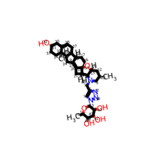 CC1O[C@H](n2cc(CN3C[C@@H](C)C[C@H]4O[C@@]56CC[C@@H]7C(=C5C[C@@H]6[C@@H]43)CC3[C@H]7CC=C4C[C@@H](O)CC[C@@]43C)nn2)C(O)C(O)[C@@H]1O